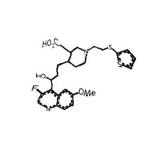 COc1ccc2ncc(F)c(C(O)CCC3CCN(CCSc4cccs4)CC3C(=O)O)c2c1